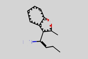 CC/C=C(/N)c1c(C)oc2ccccc12